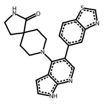 O=C1NCCC12CCN(c1c(-c3ccc4scnc4c3)cnc3[nH]ccc13)CC2